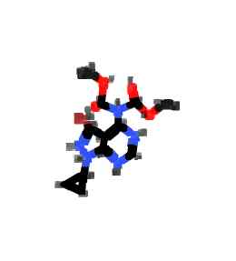 CC(C)(C)OC(=O)N(C(=O)OC(C)(C)C)c1ncnc2c1c(Br)nn2C1CC1